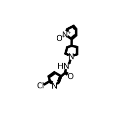 O=C(NCN1CCC(c2cccc[n+]2[O-])CC1)c1ccc(Cl)nc1